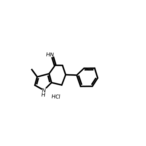 Cc1c[nH]c2c1C(=N)CC(c1ccccc1)C2.Cl